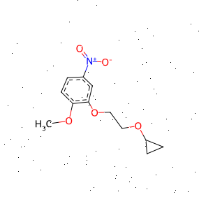 COc1ccc([N+](=O)[O-])cc1OCCOC1CC1